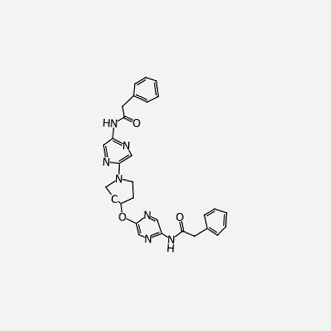 O=C(Cc1ccccc1)Nc1cnc(OC2CCN(c3cnc(NC(=O)Cc4ccccc4)cn3)CC2)cn1